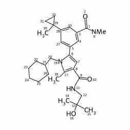 CNC(=O)c1cc(-c2cc(C(=O)NCC(C)(C)O)c(C)n2CC2CCCCC2)cc(C2(C)CC2)c1